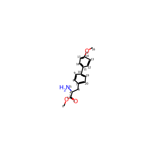 COC(=O)[C@@H](N)Cc1ccc(-c2ccc(OC)cc2)cc1